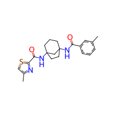 Cc1cccc(C(=O)NC23CCCC(NC(=O)c4nc(C)cs4)(CC2)C3)c1